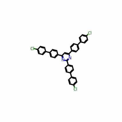 Clc1ccc(-c2ccc(-c3cc(-c4ccc(-c5ccc(Cl)cc5)cc4)nc(-c4ccc(-c5ccc(Cl)cc5)cc4)n3)cc2)cc1